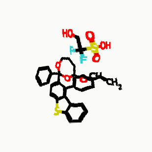 C=Cc1ccc(-c2c(C3(c4ccccc4)OCCCC(OC)O3)ccc3sc4ccccc4c23)cc1.O=S(=O)(O)C(F)(F)CO